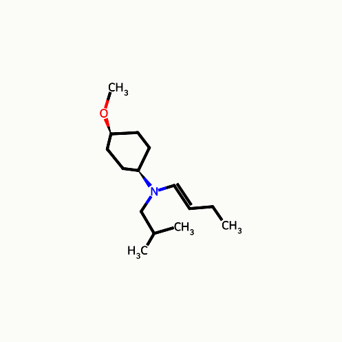 CC/C=C/N(CC(C)C)[C@H]1CC[C@@H](OC)CC1